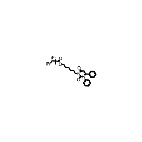 CC(C)CC(C)(C(=O)OCCCCCCn1c(=O)cc(-c2ccccc2)n(-c2ccccc2)c1=O)C(C)C